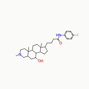 CN1CCC2(C)C(CC(O)C3C4CCC(CCCC(=O)Nc5ccc(F)cc5)C4(C)CCC32)C1